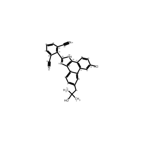 CC(C)(O)Cc1ccc2c(c1)c1cc(Cl)ccc1c1[nH]c(-c3c(C#N)cccc3C#N)nc21